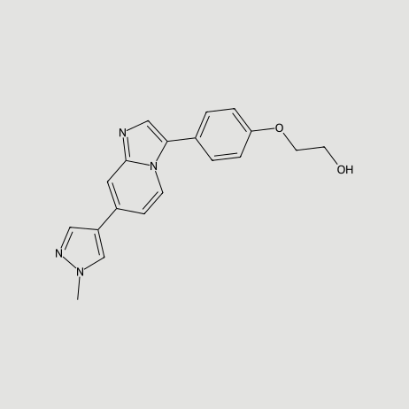 Cn1cc(-c2ccn3c(-c4ccc(OCCO)cc4)cnc3c2)cn1